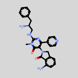 Cn1c(NC[C@@H](N)Cc2ccccc2)nc(-c2ccncc2)c(N2Cc3cccc(N)c3C2=O)c1=O